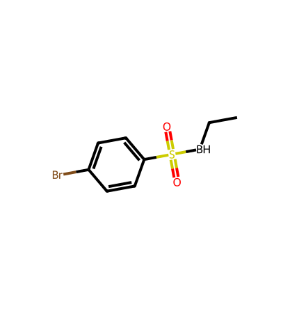 CCBS(=O)(=O)c1ccc(Br)cc1